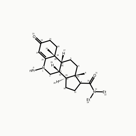 CCCN1C[C@@H]2[C@@H](CC[C@]3(C)C(C(=O)N(CC)CC)CC[C@@H]23)[C@@]2(C)CCC(=O)C=C12